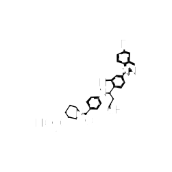 Cc1cc(-n2ncc3cc(F)ccc32)ccc1C(CCC(F)(F)F)Nc1ccc(C(=O)N2CCC[C@@H](C(=O)O)C2)cc1